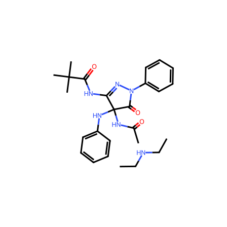 CC(=O)NC1(Nc2ccccc2)C(=O)N(c2ccccc2)N=C1NC(=O)C(C)(C)C.CCNCC